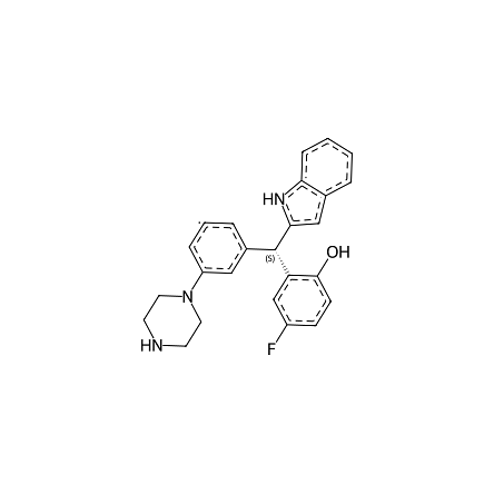 Oc1ccc(F)cc1[C@H](c1c[c]cc(N2CCNCC2)c1)c1cc2ccccc2[nH]1